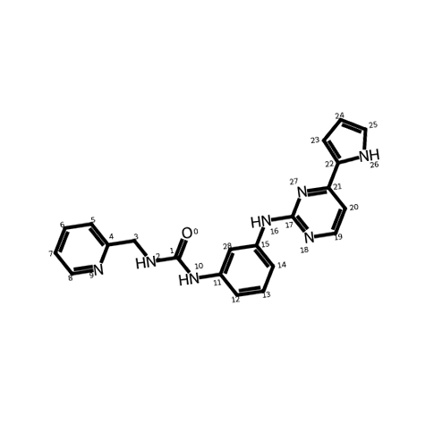 O=C(NCc1ccccn1)Nc1cccc(Nc2nccc(-c3ccc[nH]3)n2)c1